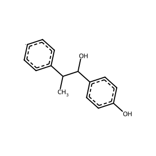 CC(c1cc[c]cc1)C(O)c1ccc(O)cc1